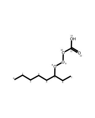 CCCCCC(CC)OOOC(=O)O